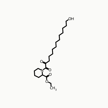 CCOC(=O)C1CCCCN1C(=O)C(=O)CCCCCCCCCCCCO